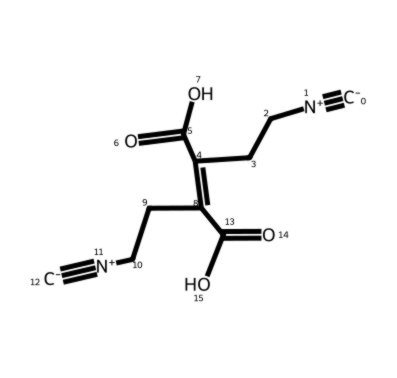 [C-]#[N+]CC/C(C(=O)O)=C(/CC[N+]#[C-])C(=O)O